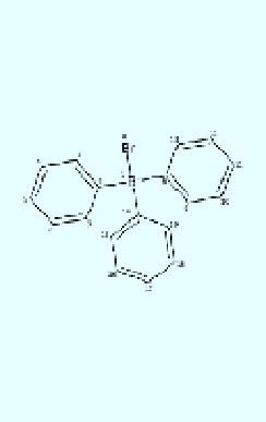 Br[B-](c1ccccc1)(c1ccccc1)c1ccccc1